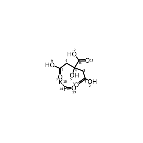 O=C(O)CC(O)(CC(=O)O)C(=O)O.O=[P][K]